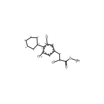 CC(C)(C)OC(=O)C(Cl)Cc1cc(Cl)c(C2CCCCC2)c(Cl)c1